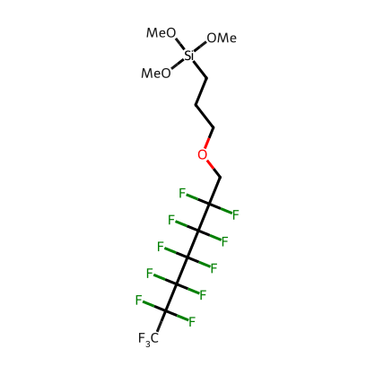 CO[Si](CCCOCC(F)(F)C(F)(F)C(F)(F)C(F)(F)C(F)(F)C(F)(F)F)(OC)OC